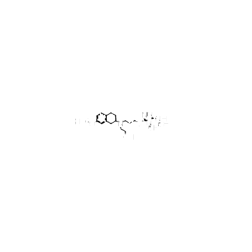 CCCN(CCCSc1nnc(NC)n1C)C1CCc2ccc(OC)cc2C1